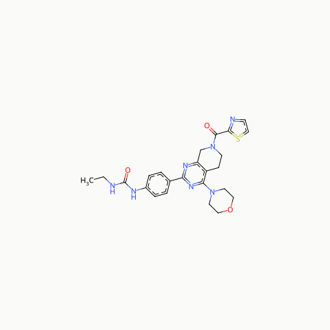 CCNC(=O)Nc1ccc(-c2nc3c(c(N4CCOCC4)n2)CCN(C(=O)c2nccs2)C3)cc1